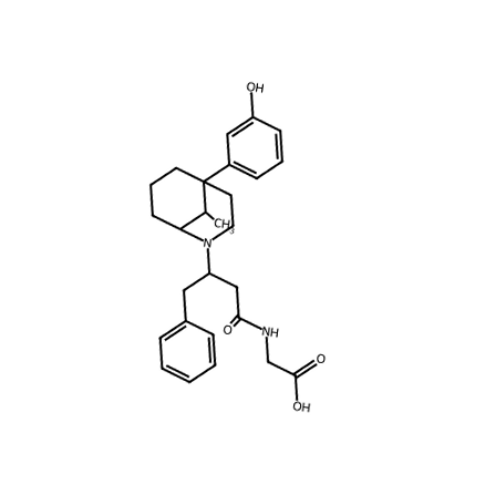 CC1C2CCCC1(c1cccc(O)c1)CCN2C(CC(=O)NCC(=O)O)Cc1ccccc1